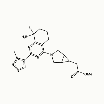 BC1(F)CCCc2c(N3CC4C(CC(=O)OC)C4C3)nc(-c3cnnn3C)nc21